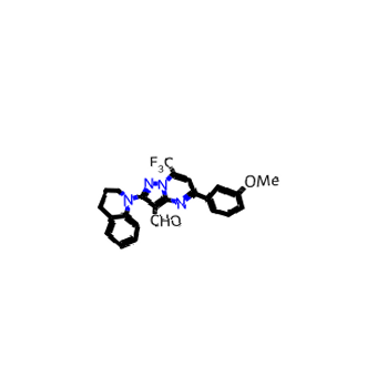 COc1cccc(-c2cc(C(F)(F)F)n3nc(N4CCCc5ccccc54)c(C=O)c3n2)c1